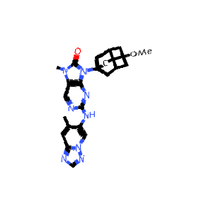 COC12CC3CC4(n5c(=O)n(C)c6cnc(Nc7cn8ncnc8cc7C)nc65)CC(C1)C32C4